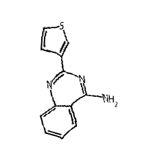 Nc1nc(-c2ccsc2)nc2ccccc12